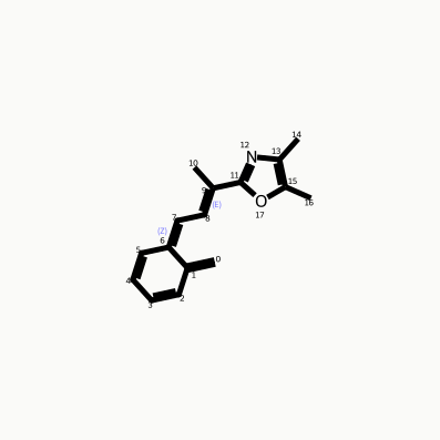 C=c1cccc/c1=C/C=C(\C)c1nc(C)c(C)o1